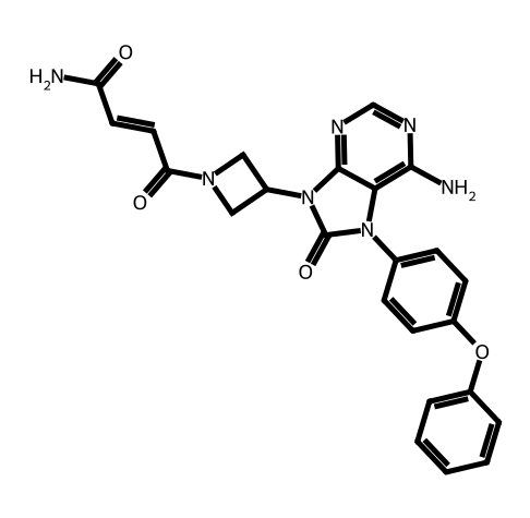 NC(=O)C=CC(=O)N1CC(n2c(=O)n(-c3ccc(Oc4ccccc4)cc3)c3c(N)ncnc32)C1